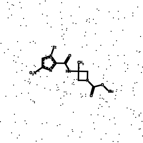 CCn1cc([N+](=O)[O-])nc1C(=O)NC1(C)CN(C(=O)OC(C)(C)C)C1